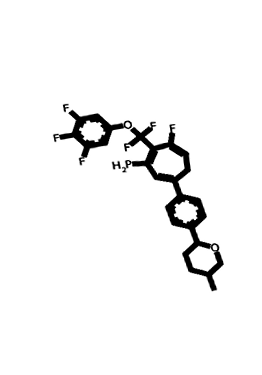 CC1CCC(c2ccc(C3=CC(P)=C(C(F)(F)Oc4cc(F)c(F)c(F)c4)C(F)=CC3)cc2)OC1